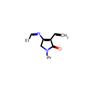 C=CC1=C(/N=C\CC)CN(C(C)C)C1=O